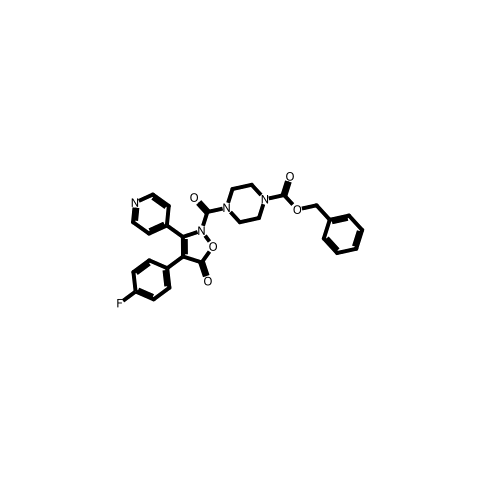 O=C(OCc1ccccc1)N1CCN(C(=O)n2oc(=O)c(-c3ccc(F)cc3)c2-c2ccncc2)CC1